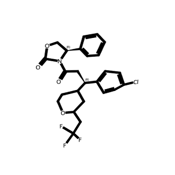 O=C(C[C@@H](c1ccc(Cl)cc1)C1CCOC(CC(F)(F)F)C1)N1C(=O)OC[C@H]1c1ccccc1